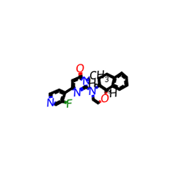 Cn1c(N2CCO[C@@H]3c4ccccc4CC[C@@H]32)nc(-c2ccncc2F)cc1=O